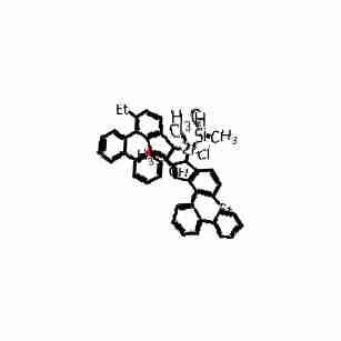 CCc1ccc2c(c1-c1ccccc1-c1ccccc1)C=C(C)[CH]2[Zr]([Cl])([Cl])([CH]1C(C)=Cc2c1ccc(CC)c2-c1ccccc1-c1ccccc1)[SiH](C)C